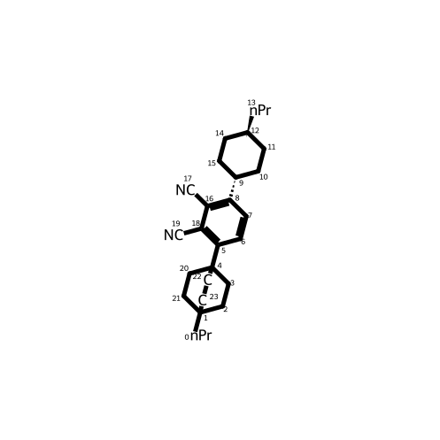 CCCC12CCC(c3ccc([C@H]4CC[C@H](CCC)CC4)c(C#N)c3C#N)(CC1)CC2